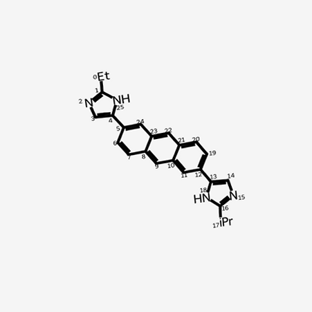 CCc1ncc(-c2ccc3cc4cc(-c5cnc(C(C)C)[nH]5)ccc4cc3c2)[nH]1